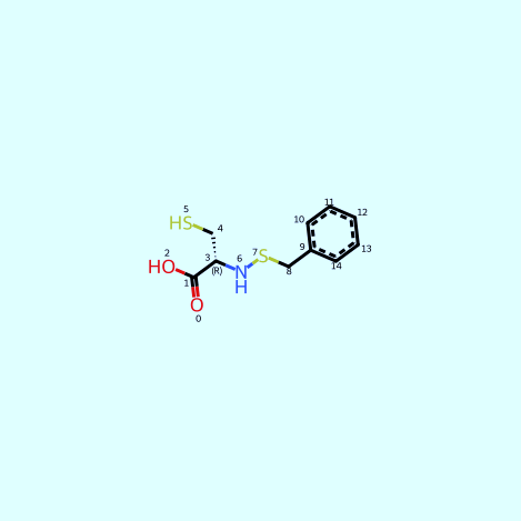 O=C(O)[C@H](CS)NSCc1ccccc1